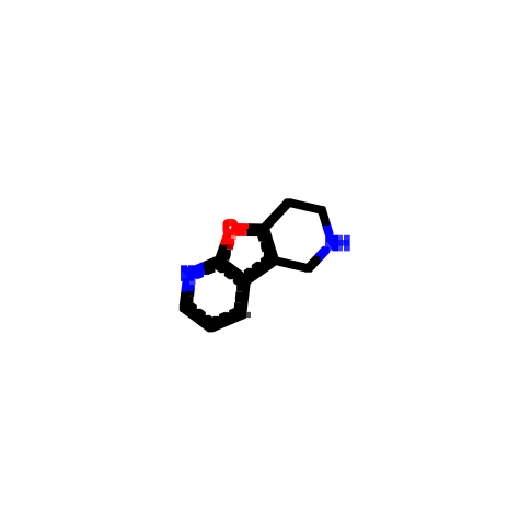 [c]1ccnc2oc3c(c12)CNCC3